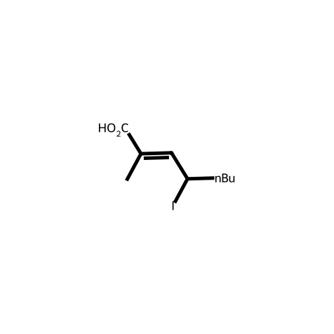 CCCCC(I)C=C(C)C(=O)O